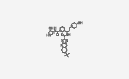 CC(C)(C)[C@H]1CCc2nc3sc(C(=O)NC(CCN4CCC(O)CC4)c4cccc(C(=O)N[C@H]5CNC[C@@H]5O)c4)nc3cc2C1